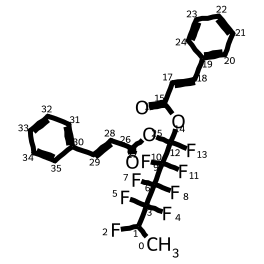 CC(F)C(F)(F)C(F)(F)C(F)(F)C(F)(OC(=O)C=Cc1ccccc1)OC(=O)C=Cc1ccccc1